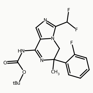 CC(C)(C)OC(=O)NC1=NC(C)(c2ccccc2F)Cn2c1cnc2C(F)F